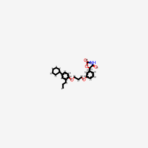 CCCc1cc(C2CCCCC2)ccc1OCCCOc1cccc(C2OC(=O)NC2=O)c1